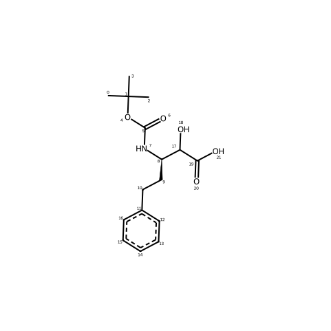 CC(C)(C)OC(=O)N[C@H](CCc1ccccc1)C(O)C(=O)O